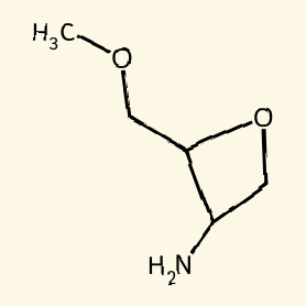 COCC1OCC1N